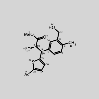 COC(=O)[C@H](C)[C@@H](c1ccc(C)c(CO)c1)c1ccc(C(C)=O)s1